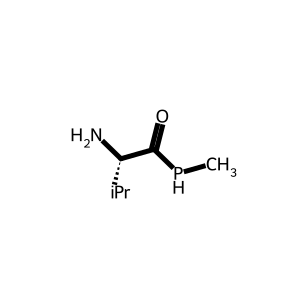 CPC(=O)[C@@H](N)C(C)C